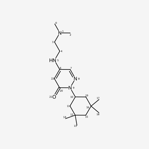 CN(C)CCNc1cnn(C2CC(C)(C)CC(C)(C)C2)c(=O)c1